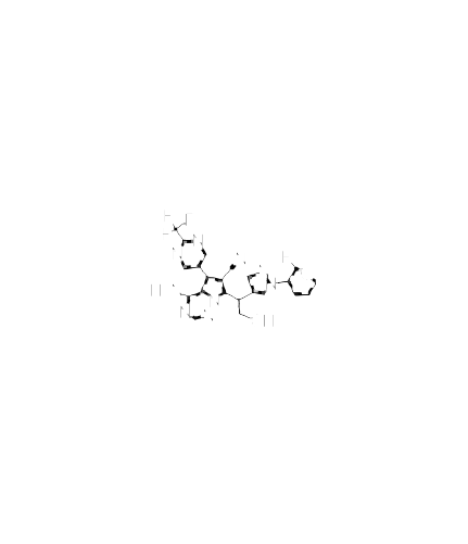 CCC(c1cnn(-c2ccccc2F)c1)c1c(C#N)c(-c2cnc(C(F)(F)F)nc2)c2c(N)ncnn12